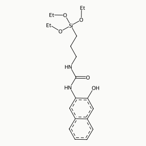 CCO[Si](CCCNC(=O)Nc1cc2ccccc2cc1O)(OCC)OCC